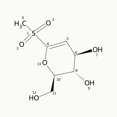 CS(=O)(=O)C1=C[C@@H](O)[C@H](O)[C@@H](CO)O1